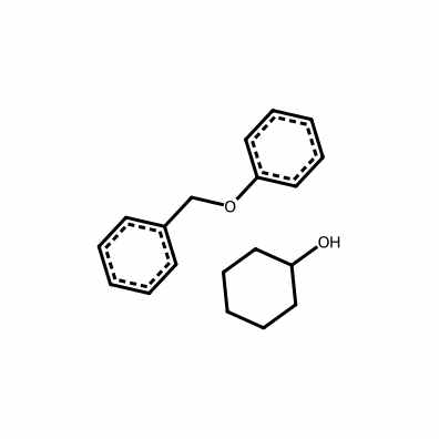 OC1CCCCC1.c1ccc(COc2ccccc2)cc1